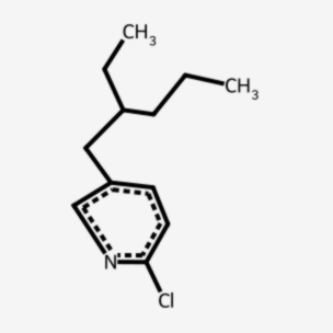 CCCC(CC)Cc1ccc(Cl)nc1